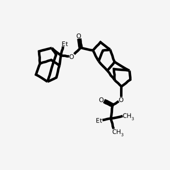 CCC(C)(C)C(=O)OC1CC2CC1C1C3CC(CC3C(=O)OC3(CC)C4CC5CC(C4)CC3C5)C21